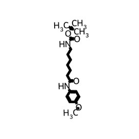 COc1ccc(NC(=O)CCCCCCNC(=O)OC(C)(C)C)cc1